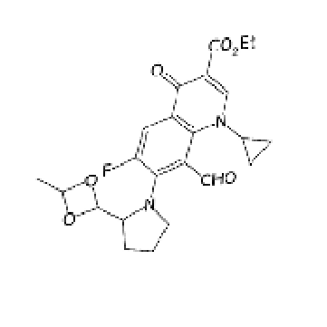 CCOC(=O)c1cn(C2CC2)c2c(C=O)c(N3CCCC3C3OC(C)O3)c(F)cc2c1=O